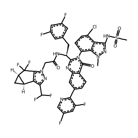 Cn1nc(NS(C)(=O)=O)c2c(Cl)ccc(-n3c([C@H](Cc4cc(F)cc(F)c4)NC(=O)Cn4nc(C(F)F)c5c4C(F)(F)[C@@H]4C[C@H]54)nc4cc(-c5ncc(F)cc5F)ccc4c3=O)c21